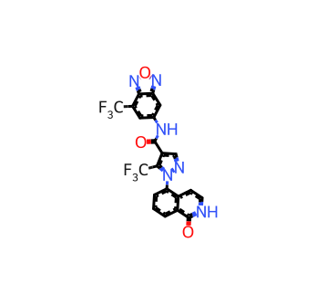 O=C(Nc1cc(C(F)(F)F)c2nonc2c1)c1cnn(-c2cccc3c(=O)[nH]ccc23)c1C(F)(F)F